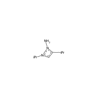 CC(C)c1cn(C(C)C)n1N